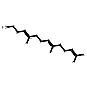 CC(C)=CCC/C(C)=C/CC/C(C)=C/CCO